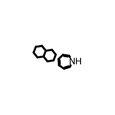 C1=CC=CNC=C1.C1CCC2CCCCC2C1